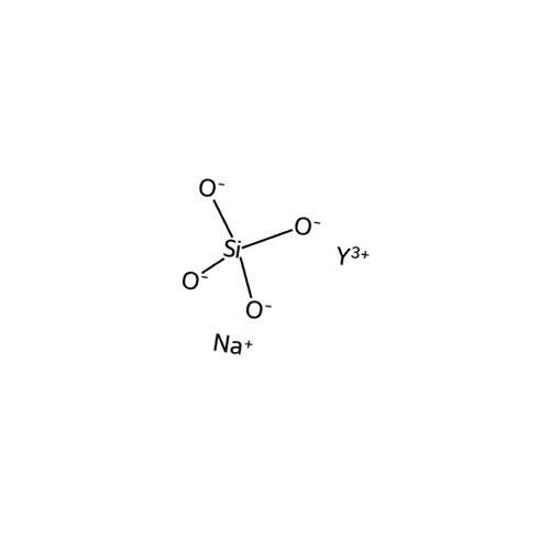 [Na+].[O-][Si]([O-])([O-])[O-].[Y+3]